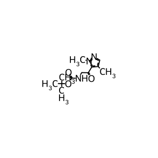 Cc1cnn(C)c1C(=O)CNC(=O)OC(C)(C)C